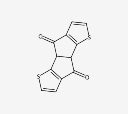 O=C1c2ccsc2C2C(=O)c3ccsc3C12